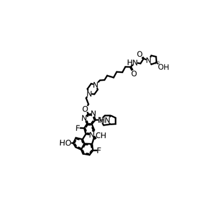 C#Cc1c(F)ccc2cc(O)cc(-c3ncc4c(N5CC6CCC(C5)N6)nc(OCCN5CCN(CCCCCCCC(=O)NCC(=O)N6CC[C@@H](O)C6)CC5)nc4c3F)c12